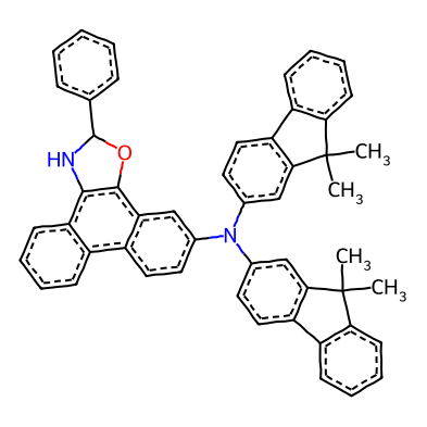 CC1(C)c2ccccc2-c2ccc(N(c3ccc4c(c3)C(C)(C)c3ccccc3-4)c3ccc4c(c3)c3c(c5ccccc54)NC(c4ccccc4)O3)cc21